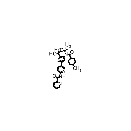 CC1CCC(C(=O)N(c2cc(-c3ccc(NC(=O)c4ccccn4)nc3)sc2C(=O)O)C(C)C)CC1